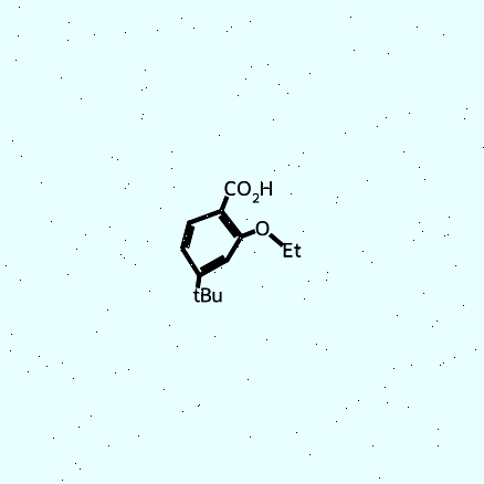 CCOc1cc(C(C)(C)C)ccc1C(=O)O